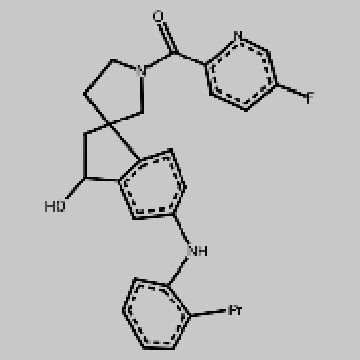 CC(C)c1ccccc1Nc1ccc2c(c1)C(O)CC21CCN(C(=O)c2ccc(F)cn2)C1